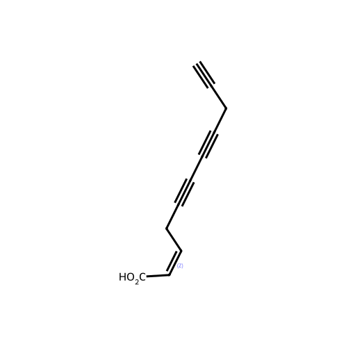 C#CCC#CC#CC/C=C\C(=O)O